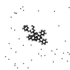 CCCCN(CCCN1CCOCC1)C(=O)Oc1c(Cc2ccco2)nc2c(Cc3ccccc3)nc(-c3ccccc3)cn12